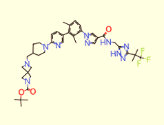 Cc1ccc(-n2cc(C(=O)NCc3nc(C(C)(C)C(F)(F)F)n[nH]3)cn2)c(C)c1-c1ccc(N2CCC(CN3CC4(C3)CN(C(=O)OC(C)(C)C)C4)CC2)nc1